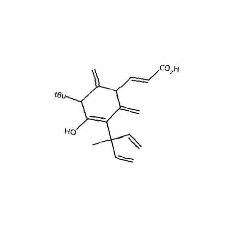 C=CC(C)(C=C)C1=C(O)C(C(C)(C)C)C(=C)C(C=CC(=O)O)C1=C